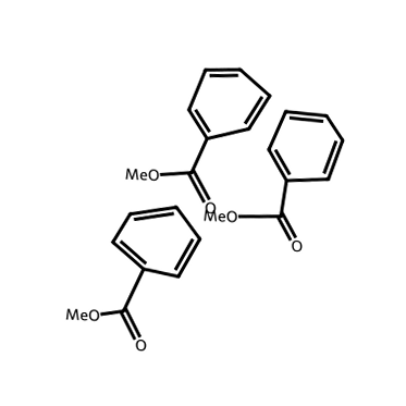 COC(=O)c1ccccc1.COC(=O)c1ccccc1.COC(=O)c1ccccc1